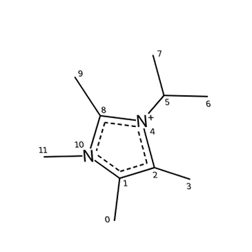 Cc1c(C)[n+](C(C)C)c(C)n1C